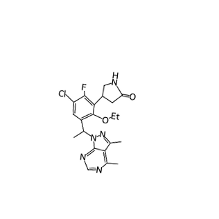 CCOc1c(C(C)n2nc(C)c3c(C)ncnc32)cc(Cl)c(F)c1C1CNC(=O)C1